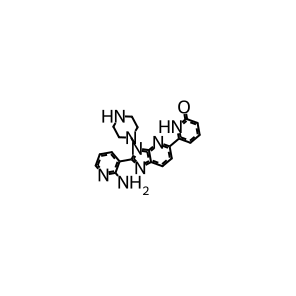 Nc1ncccc1-c1nc2ccc(-c3cccc(=O)[nH]3)nc2n1N1CCNCC1